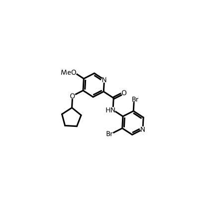 COc1cnc(C(=O)Nc2c(Br)cncc2Br)cc1OC1CCCC1